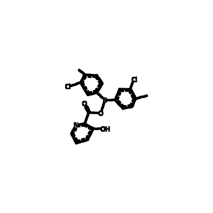 Cc1ccc(B(OC(=O)c2ncccc2O)c2ccc(C)c(Cl)c2)cc1Cl